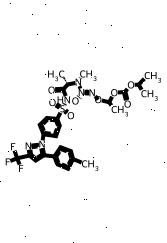 Cc1ccc(-c2cc(C(F)(F)F)nn2-c2ccc(S(=O)(=O)NC(=O)[C@H](C)N(C)[N+]([O-])=NOC(C)OC(=O)OC(C)C)cc2)cc1